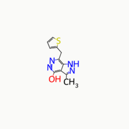 Cc1n[nH]c2c(Cc3cccs3)nnc(O)c12